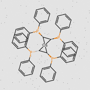 c1ccc(P(c2ccccc2)[C@H]2[C@H](P(c3ccccc3)c3ccccc3)[Os]23[C@@H](P(c2ccccc2)c2ccccc2)[C@H]3P(c2ccccc2)c2ccccc2)cc1